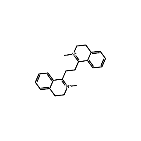 C[N+]1=C(CCC2=[N+](C)CCc3ccccc32)c2ccccc2CC1